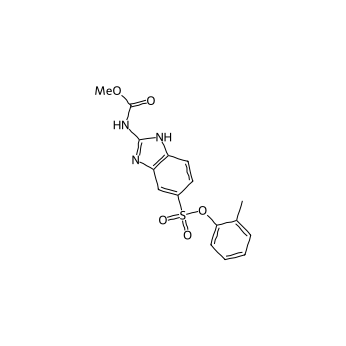 COC(=O)Nc1nc2cc(S(=O)(=O)Oc3ccccc3C)ccc2[nH]1